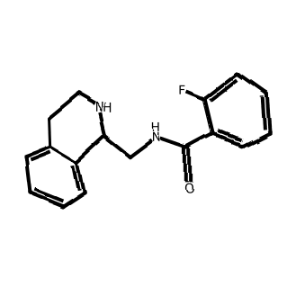 O=C(NCC1NCCc2ccccc21)c1ccccc1F